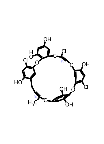 C/C1=C/Cc2cc(c(Cl)cc2O)Oc2c(O)cc(O)cc2C/C(Cl)=C\Cc2cc(c(Cl)cc2O)Oc2c(O)cc(cc2O)C1